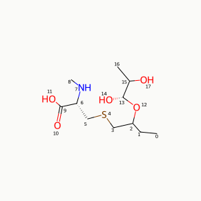 CCC(CSC[C@@H](NC)C(=O)O)O[C@H](O)C(C)O